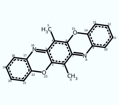 Cc1c2c(c(C)c3c1=Nc1ccccc1O3)=Nc1ccccc1O2